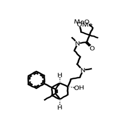 COCC(C)(COC)C(=O)N(C)CCCN(C)CC[C@@]1(O)C[C@H]2CC[C@@H]1C(c1ccccc1)=C2C